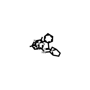 Cc1cc(C)nc(NC2CC3CCC2N3C(=O)c2ccccc2-n2nccn2)n1